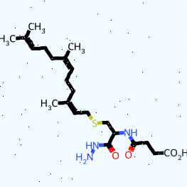 CC(C)=CCCC(C)=CCCC(C)=CCSCC(NC(=O)CCC(=O)O)C(=O)NN